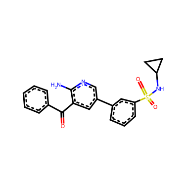 Nc1ncc(-c2cccc(S(=O)(=O)NC3CC3)c2)cc1C(=O)c1ccccc1